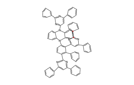 c1ccc(-c2cc(-c3c(N4c5ccccc5N(c5cc(-c6ccccc6)nc(-c6ccccc6)n5)c5ccccc54)ccc(-c4nc(-c5ccccc5)cc(-c5ccccc5)n4)c3-c3ccccc3)nc(-c3ccccc3)n2)cc1